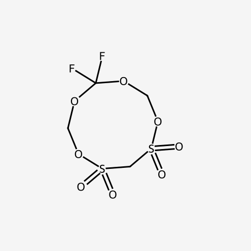 O=S1(=O)CS(=O)(=O)OCOC(F)(F)OCO1